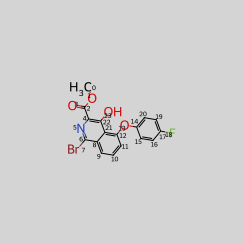 COC(=O)c1nc(Br)c2cccc(Oc3ccc(F)cc3)c2c1O